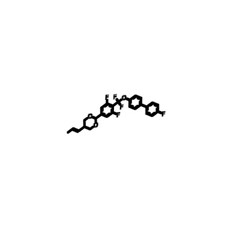 C/C=C/C1COC(c2cc(F)c(C(F)(F)Oc3ccc(-c4ccc(F)cc4)cc3)c(F)c2)OC1